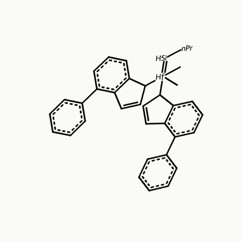 CCC[SiH]=[Hf]([CH3])([CH3])([CH]1C=Cc2c(-c3ccccc3)cccc21)[CH]1C=Cc2c(-c3ccccc3)cccc21